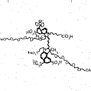 COCCOCCOCCOCCOCCOCCC1(C)C(/C=C/C=C/C=C2/N(CCCCCC(=O)O)c3ccc4c(S(=O)(=O)[O-])cc(S(=O)(=O)O)cc4c3C2(C)CCOCCOCCOCCOCCOCCOC)=[N+](CCCS(=O)(=O)O)c2ccc3c(S(=O)(=O)O)cc(S(=O)(=O)O)cc3c21